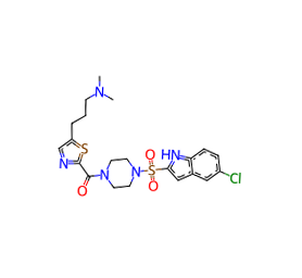 CN(C)CCCc1cnc(C(=O)N2CCN(S(=O)(=O)c3cc4cc(Cl)ccc4[nH]3)CC2)s1